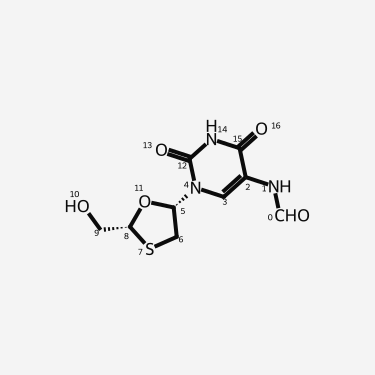 O=CNc1cn([C@@H]2CS[C@H](CO)O2)c(=O)[nH]c1=O